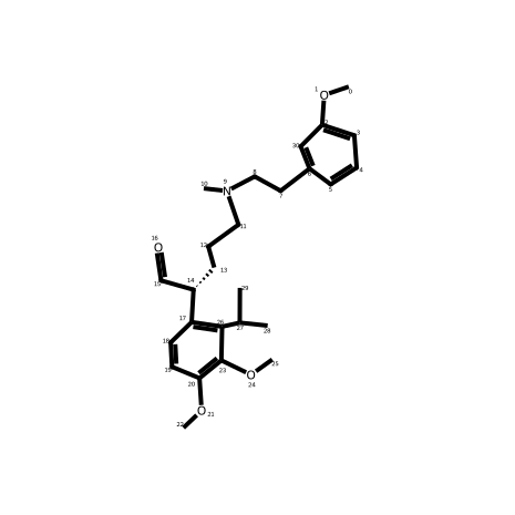 COc1cccc(CCN(C)CCC[C@@H](C=O)c2ccc(OC)c(OC)c2C(C)C)c1